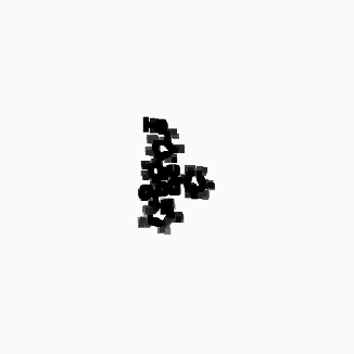 O=C(OB1C(OC(=O)c2ccccn2)CCC1c1ccc(CO)cc1)c1ccccn1